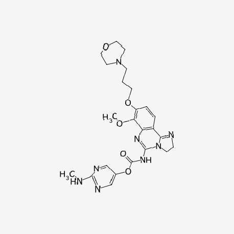 CNc1ncc(OC(=O)NC2=Nc3c(ccc(OCCCN4CCOCC4)c3OC)C3=NCCN23)cn1